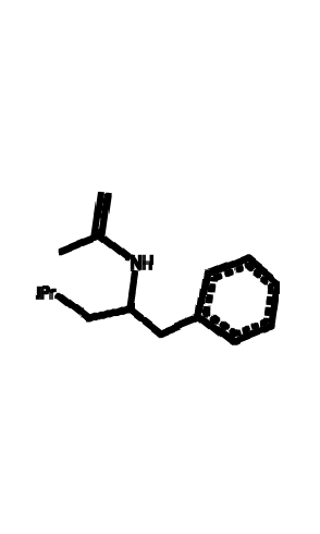 C=C(C)NC(Cc1ccccc1)CC(C)C